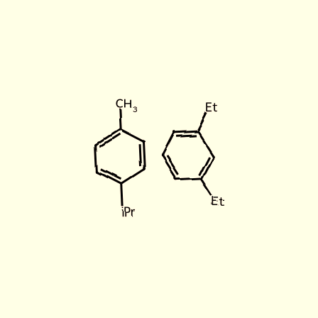 CCc1cccc(CC)c1.Cc1ccc(C(C)C)cc1